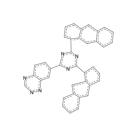 c1ccc2cc3c(-c4nc(-c5ccc6ncnnc6c5)nc(-c5cccc6cc7ccccc7cc56)n4)cccc3cc2c1